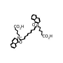 O=C(O)CCCCN1/C(=C/C=C/C=C/C=C/c2oc3c4ccccc4ccc3[n+]2CCCCC(=O)O)Oc2c1ccc1ccccc21